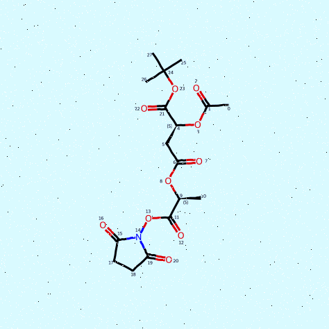 CC(=O)O[C@@H](CC(=O)O[C@@H](C)C(=O)ON1C(=O)CCC1=O)C(=O)OC(C)(C)C